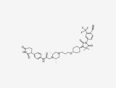 C[C@@H]1CN(CCCO[C@H]2CC[C@H](N3C(=S)N(c4ccc(C#N)c(C(F)(F)F)c4)C(=O)C3(C)C)CC2)C[C@H](C)N1CC(=O)Nc1ccc(C2CCC(=O)NC2=O)cc1